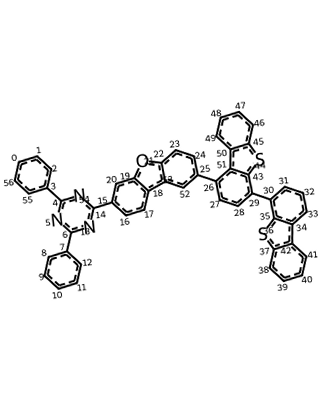 c1ccc(-c2nc(-c3ccccc3)nc(-c3ccc4c(c3)oc3ccc(-c5ccc(-c6cccc7c6sc6ccccc67)c6sc7ccccc7c56)cc34)n2)cc1